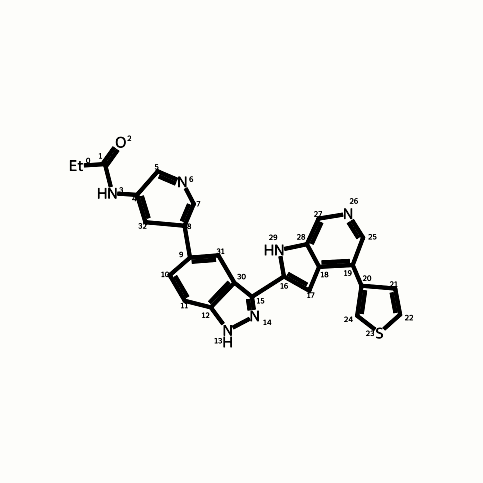 CCC(=O)Nc1cncc(-c2ccc3[nH]nc(-c4cc5c(-c6ccsc6)cncc5[nH]4)c3c2)c1